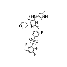 COc1c(Nc2cc(C)[nH]n2)nc(Sc2ccc(S(=O)(=O)C(C)(C)c3c(F)c(F)cc(F)c3F)cc2F)nc1N1CCOCC1